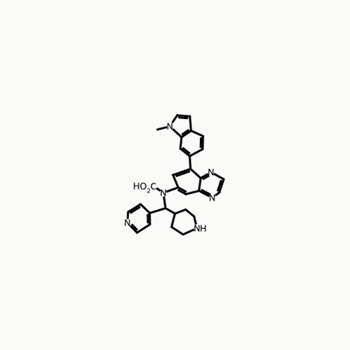 Cn1ccc2ccc(-c3cc(N(C(=O)O)C(c4ccncc4)C4CCNCC4)cc4nccnc34)cc21